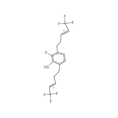 Fc1c(CC/C=C/C(F)(F)F)ccc(CC/C=C/C(F)(F)F)c1S